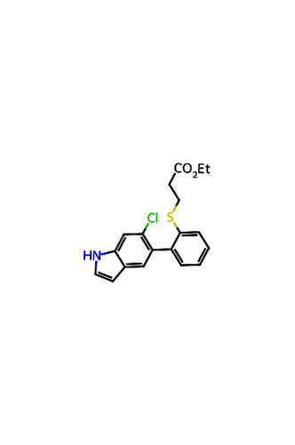 CCOC(=O)CCSc1ccccc1-c1cc2cc[nH]c2cc1Cl